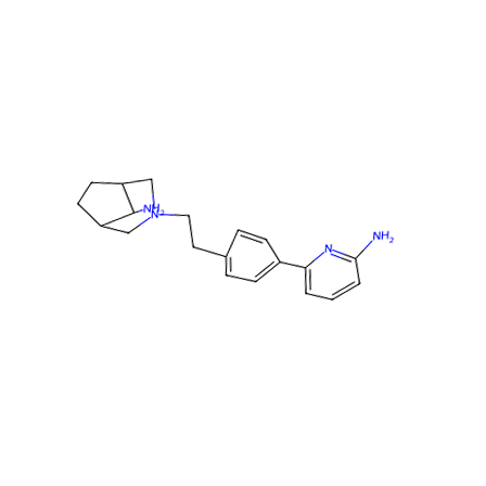 Nc1cccc(-c2ccc(CCN3CC4CCC(C3)C4N)cc2)n1